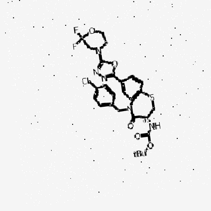 CC(C)(C)OC(=O)N[C@H]1CSc2ccc(-c3nnc(N4CCOC(F)(F)C4)o3)cc2N(Cc2ccc(Cl)cc2)C1=O